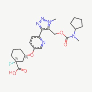 CN(C(=O)OCc1c(-c2ccc(O[C@@H]3CCC[C@@](F)(C(=O)O)C3)cn2)nnn1C)C1CCCC1